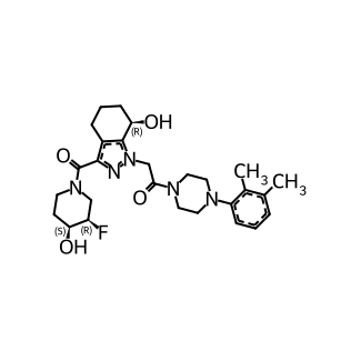 Cc1cccc(N2CCN(C(=O)Cn3nc(C(=O)N4CC[C@H](O)[C@H](F)C4)c4c3[C@H](O)CCC4)CC2)c1C